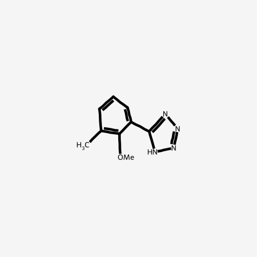 COc1c(C)cccc1-c1nnn[nH]1